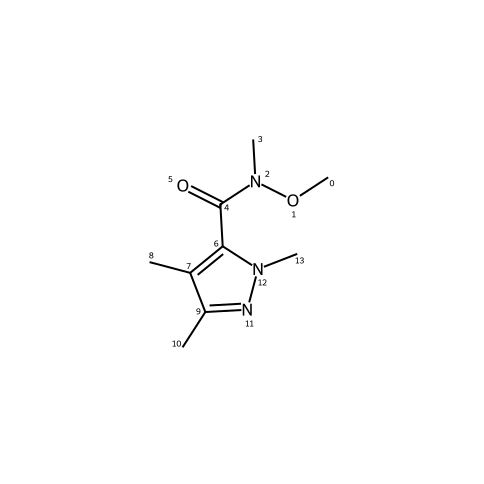 CON(C)C(=O)c1c(C)c(C)nn1C